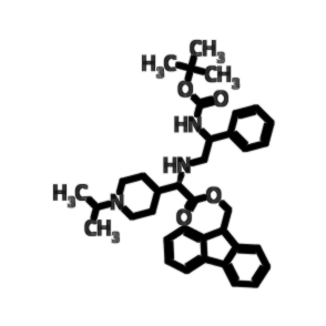 CC(C)N1CCC([C@@H](NCC(NC(=O)OC(C)(C)C)c2ccccc2)C(=O)OCC2c3ccccc3-c3ccccc32)CC1